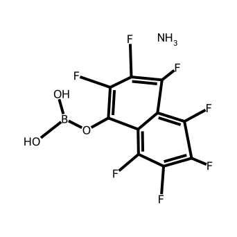 N.OB(O)Oc1c(F)c(F)c(F)c2c(F)c(F)c(F)c(F)c12